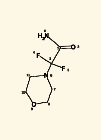 NC(=O)C(F)(F)N1CCOCC1